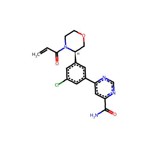 C=CC(=O)N1CCOC[C@H]1c1cc(Cl)cc(-c2cc(C(N)=O)ncn2)c1